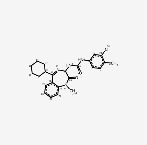 Cc1ccc(NC(=O)NC2N=C(C3CCCCC3)c3ccccc3N(C)C2=O)cc1Cl